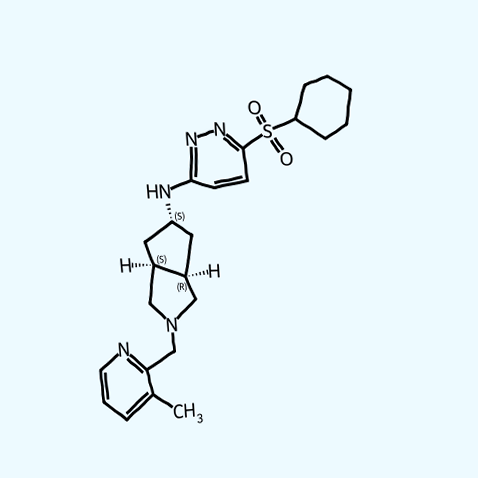 Cc1cccnc1CN1C[C@H]2C[C@H](Nc3ccc(S(=O)(=O)C4CCCCC4)nn3)C[C@H]2C1